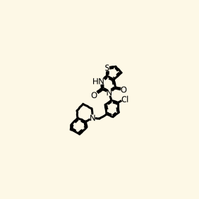 O=c1[nH]c2sccc2c(=O)n1-c1cc(CN2CCCc3ccccc32)ccc1Cl